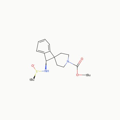 CC(C)(C)OC(=O)N1CCC2(CC1)c1ccccc1[C@@H]2N[S@+]([O-])C(C)(C)C